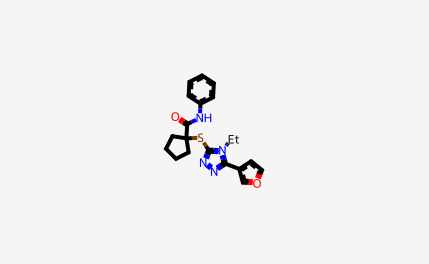 CCn1c(SC2(C(=O)Nc3ccccc3)CCCC2)nnc1-c1ccoc1